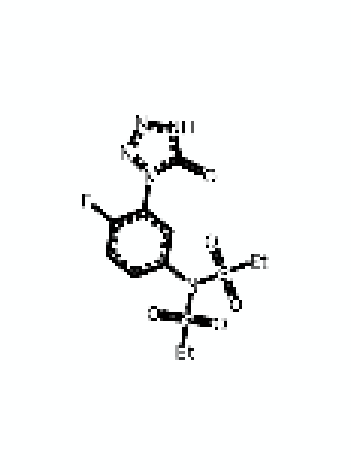 CCS(=O)(=O)N(c1ccc(F)c(-n2nn[nH]c2=O)c1)S(=O)(=O)CC